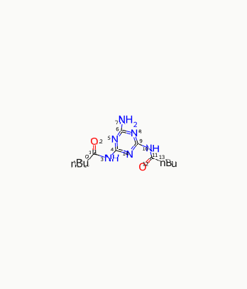 CCCCC(=O)Nc1nc(N)nc(NC(=O)CCCC)n1